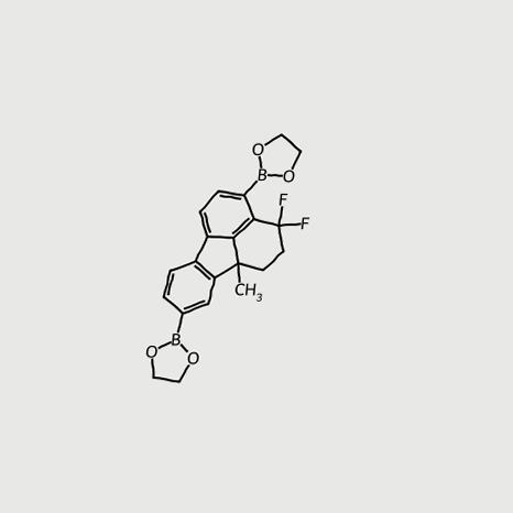 CC12CCC(F)(F)c3c(B4OCCO4)ccc(c31)-c1ccc(B3OCCO3)cc12